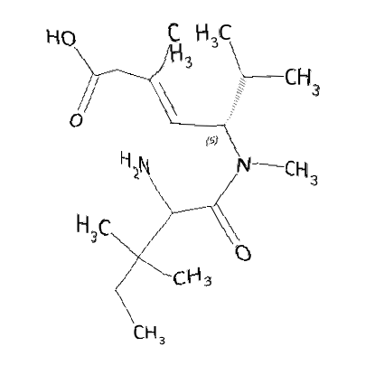 CCC(C)(C)C(N)C(=O)N(C)[C@H](C=C(C)C(=O)O)C(C)C